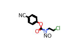 N#Cc1ccc(OC(=O)N(CCCl)N=O)cc1